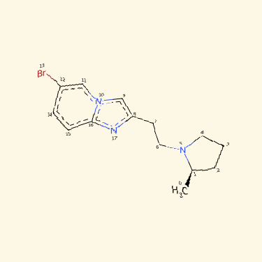 C[C@@H]1CCCN1CCc1cn2cc(Br)ccc2n1